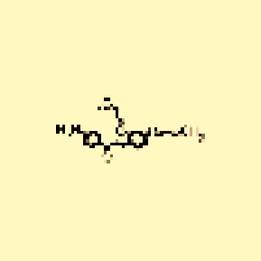 CCCCOc1ccc(C=CC(=O)c2ccc(N)cc2)c(OCCCC)c1